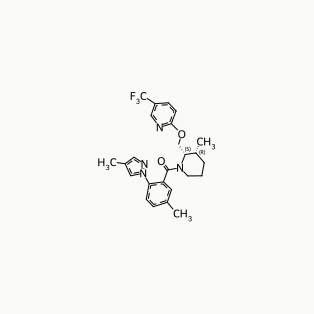 Cc1ccc(-n2cc(C)cn2)c(C(=O)N2CCC[C@@H](C)[C@H]2COc2ccc(C(F)(F)F)cn2)c1